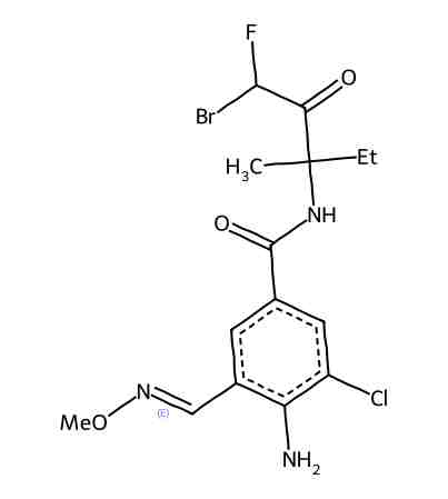 CCC(C)(NC(=O)c1cc(Cl)c(N)c(/C=N/OC)c1)C(=O)C(F)Br